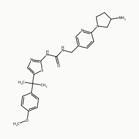 COc1ccc(C(C)(C)c2cnc(NC(=O)NCc3ccc(N4CCC(N)C4)nc3)s2)cc1